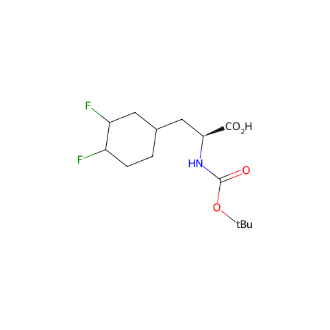 CC(C)(C)OC(=O)N[C@@H](CC1CCC(F)C(F)C1)C(=O)O